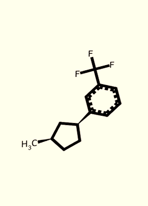 C[C@@H]1CC[C@H](c2cccc(C(F)(F)F)c2)C1